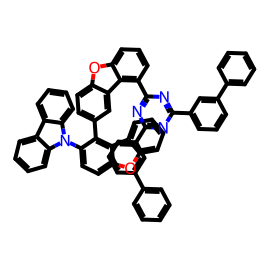 c1ccc(-c2cccc(-c3nc(-c4cccc(-c5ccccc5)c4)nc(-c4cccc5oc6ccc(-c7c(-n8c9ccccc9c9ccccc98)ccc8oc9ccccc9c78)cc6c45)n3)c2)cc1